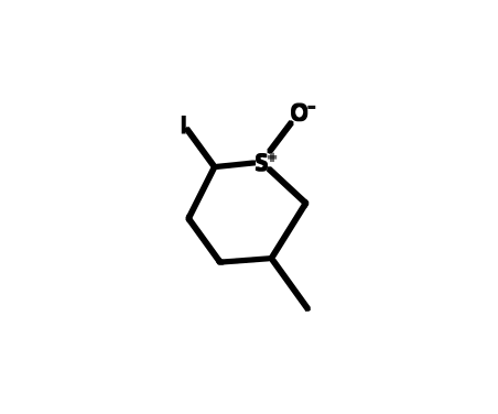 CC1CCC(I)[S+]([O-])C1